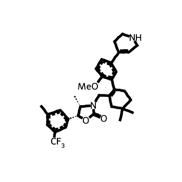 COc1ccc(C2=CCNCC2)cc1C1=C(CN2C(=O)O[C@H](c3cc(C)cc(C(F)(F)F)c3)[C@@H]2C)CC(C)(C)CC1